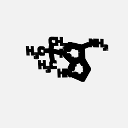 CC(C)(C)n1cc(N)c2cc[nH]c21